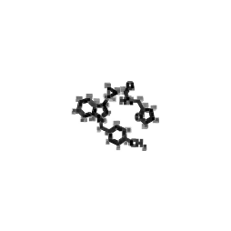 Cc1ccc(Cn2cc([C@H]3C[C@@H]3C(=O)NCc3ccco3)c3ccccc32)cc1